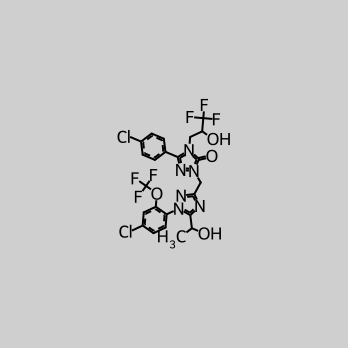 CC(O)c1nc(Cn2nc(-c3ccc(Cl)cc3)n(CC(O)C(F)(F)F)c2=O)nn1-c1ccc(Cl)cc1OC(F)(F)F